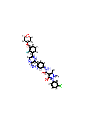 Cc1c(C(=O)Nc2ccc(-c3nc(-c4cccc(OC5CCOCC5)c4F)cnc3N)cc2)c(=O)n(-c2cccc(Cl)c2)n1C